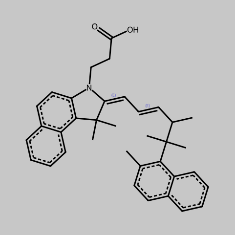 Cc1ccc2ccccc2c1C(C)(C)C(C)/C=C/C=C1/N(CCC(=O)O)c2ccc3ccccc3c2C1(C)C